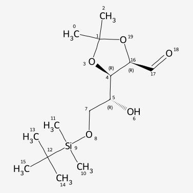 CC1(C)O[C@H]([C@H](O)CO[Si](C)(C)C(C)(C)C)[C@H](C=O)O1